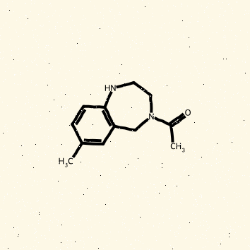 CC(=O)N1CCNc2ccc(C)cc2C1